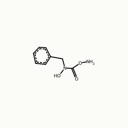 NOC(=O)N(O)Cc1ccccc1